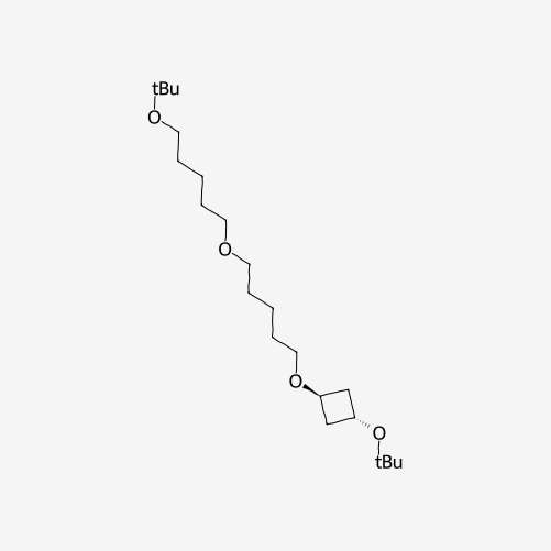 CC(C)(C)OCCCCCOCCCCCO[C@H]1C[C@H](OC(C)(C)C)C1